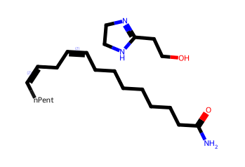 CCCCC/C=C\C/C=C\CCCCCCCC(N)=O.OCCC1=NCCN1